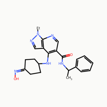 CCn1ncc2c(NC3CCC(=NO)CC3)c(C(=O)NC(C)c3ccccc3)cnc21